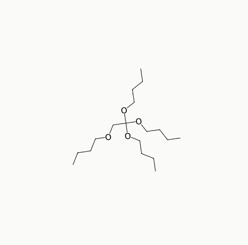 CCCCOCC(OCCCC)(OCCCC)OCCCC